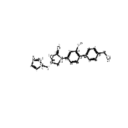 O=C1O[C@@H](Cn2ccnn2)CN1c1ccc(-c2ccc(CCl)cc2)c(F)c1